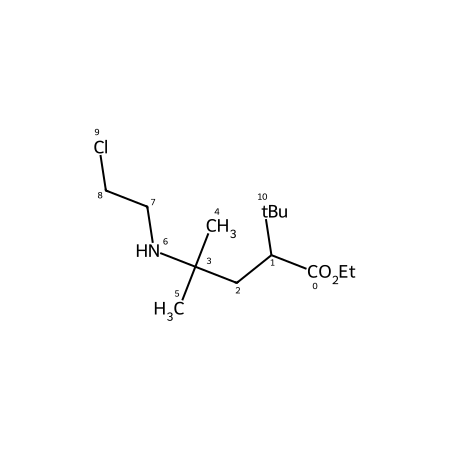 CCOC(=O)C(CC(C)(C)NCCCl)C(C)(C)C